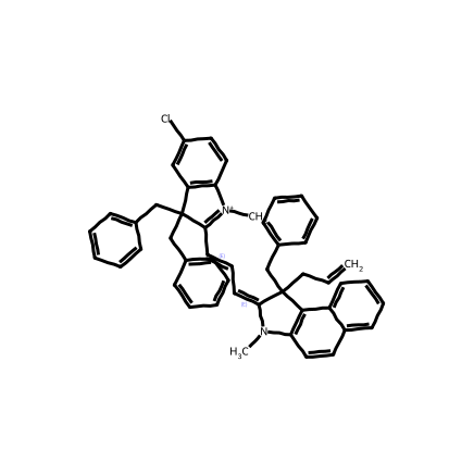 C=CCC1(Cc2ccccc2)/C(=C\C=C\C2=[N+](C)c3ccc(Cl)cc3C2(Cc2ccccc2)Cc2ccccc2)N(C)c2ccc3ccccc3c21